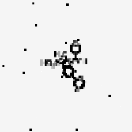 Cc1c(C(=O)O)c2ccc(-c3cnccn3)cc2n1C(C)C1CCOCC1